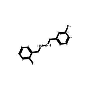 Cc1ccccc1CNNCc1cccc(F)c1